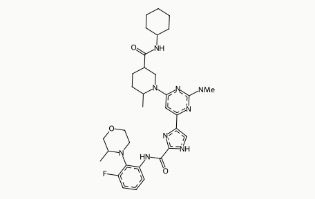 CNc1nc(-c2c[nH]c(C(=O)Nc3cccc(F)c3N3CCOCC3C)n2)cc(N2CC(C(=O)NC3CCCCC3)CCC2C)n1